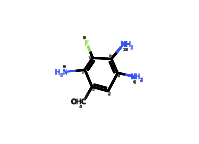 Nc1cc(C=O)c(N)c(F)c1N